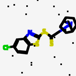 S=C(Sc1nc2cc(Cl)ccc2s1)N1CC2CCC(CC2)C1